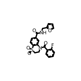 O=C(NCc1ccco1)c1ccc2c(c1)N(C(=O)c1ccccc1F)CCS2(=O)=O